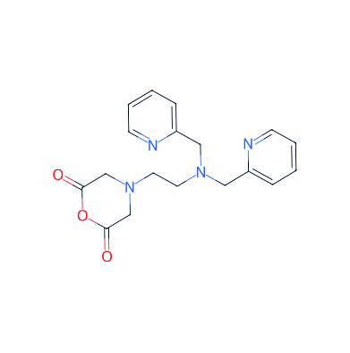 O=C1CN(CCN(Cc2ccccn2)Cc2ccccn2)CC(=O)O1